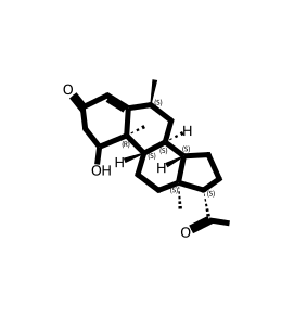 CC(=O)[C@H]1CC[C@H]2[C@@H]3C[C@H](C)C4=CC(=O)CC(O)[C@]4(C)[C@H]3CC[C@]12C